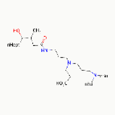 CCCCCCCC(O)C(C)CC(=O)NCCCN(CCCN(CCCC)CCCC)CCC(=O)O